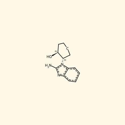 Nc1nc2ccccc2n1[C@H]1CCCC[C@@H]1O